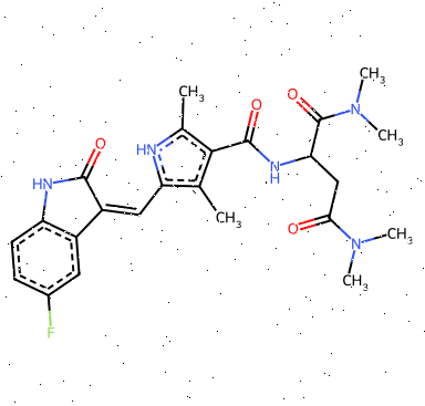 Cc1[nH]c(/C=C2\C(=O)Nc3ccc(F)cc32)c(C)c1C(=O)NC(CC(=O)N(C)C)C(=O)N(C)C